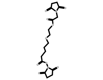 O=C(CN1C(=O)CCC1=O)OCCOCCCCC(=O)ON1C(=O)CCC1=O